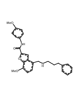 COc1ccc(NC(=O)c2cc3c(CNCCCc4ccccc4)ccc(OC)c3o2)cc1